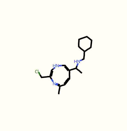 Cc1ccc(C(C)NCC2CCCCC2)c[nH]cc(CCl)n1